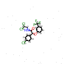 O=C(NCC(Cl)Cl)C(Oc1cccc(C(F)(F)F)c1)c1ccc(Cl)cc1